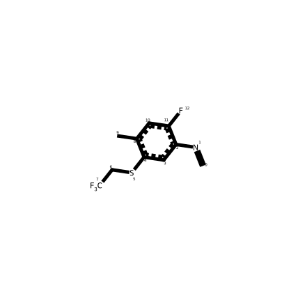 C=Nc1cc(SCC(F)(F)F)c(C)cc1F